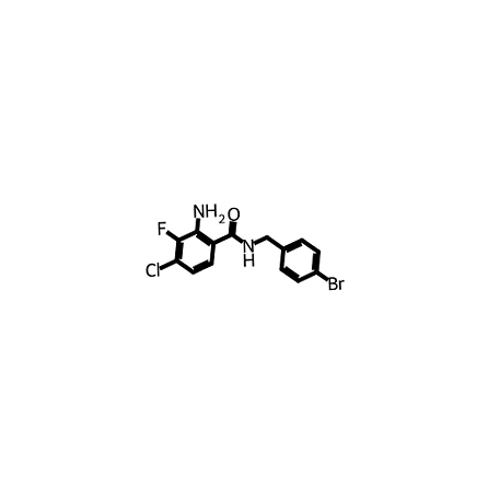 Nc1c(C(=O)NCc2ccc(Br)cc2)ccc(Cl)c1F